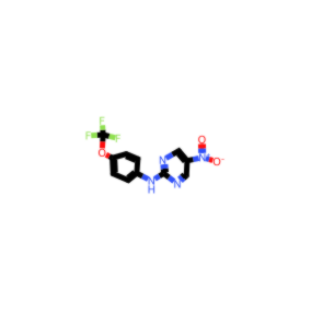 O=[N+]([O-])c1cnc(Nc2ccc(OC(F)(F)F)cc2)nc1